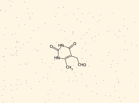 Cc1[nH]c(=O)[nH]c(=O)c1CC=O